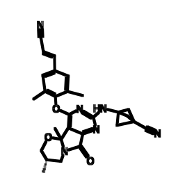 Cc1cc(/C=C/C#N)cc(C)c1Oc1nc(NC23CC(C#N)(C2)C3)nc2c1C1(C)OC[C@@H](C)CN1C2=O